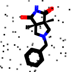 C[C@]12CN(Cc3ccccc3)C[C@H]1C(=O)NC2=O